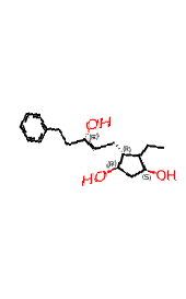 CCC1[C@@H](CC[C@@H](O)CCc2ccccc2)[C@H](O)C[C@@H]1O